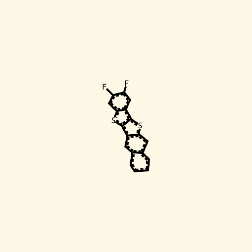 Fc1cc2sc3c4cc5ccccc5cc4sc3c2cc1F